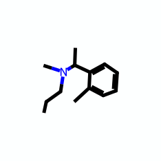 CCCN(C)C(C)c1ccccc1C